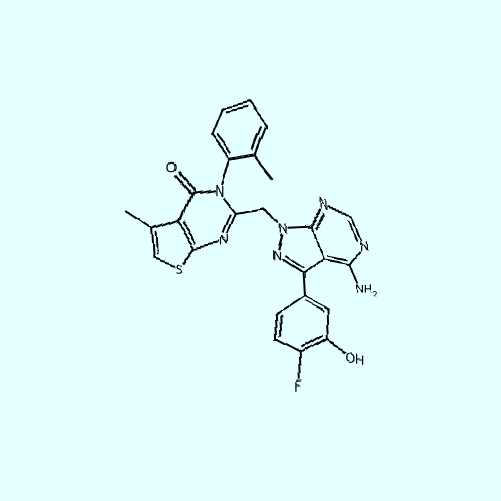 Cc1ccccc1-n1c(Cn2nc(-c3ccc(F)c(O)c3)c3c(N)ncnc32)nc2scc(C)c2c1=O